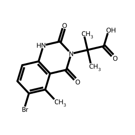 Cc1c(Br)ccc2[nH]c(=O)n(C(C)(C)C(=O)O)c(=O)c12